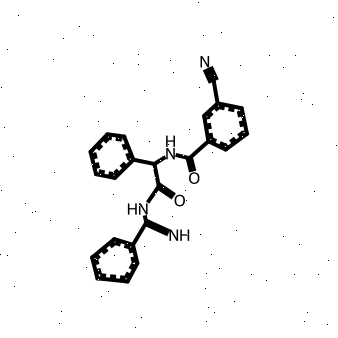 N#Cc1cccc(C(=O)NC(C(=O)NC(=N)c2ccccc2)c2ccccc2)c1